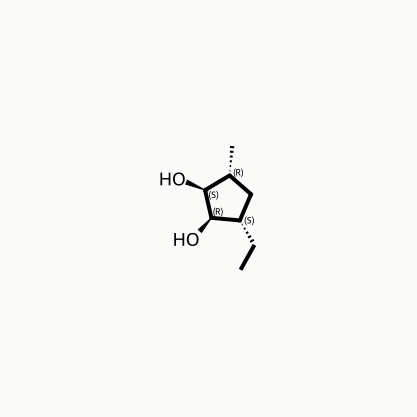 CC[C@H]1C[C@@H](C)[C@H](O)[C@@H]1O